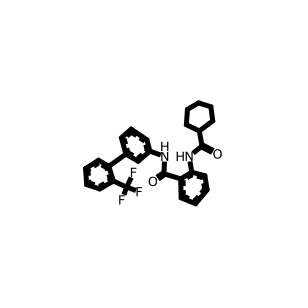 O=C(Nc1cccc(-c2ccccc2C(F)(F)F)c1)c1ccccc1NC(=O)C1CCCCC1